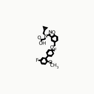 COc1ccc(F)cc1C1=CCC(F)(OCc2ccc3onc(N(CC(=O)O)CC4CC4)c3c2)C=C1